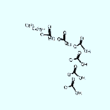 O=C([O-])O.O=C([O-])O.O=C([O-])O.O=C([O-])O.O=C([O-])O.O=C([O-])O.[Ca+2].[Ca+2].[Ca+2]